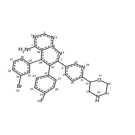 Nc1ncnc2nc(-c3ccc(C4CNCCO4)nc3)c(-c3ccc(F)cc3)c(-c3cccc(Br)c3)c12